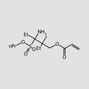 C=CC(=O)OCC(C)(CC)C(N)(CC)S(=O)(=O)OCCC